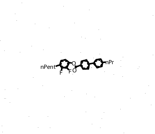 CCCCCc1ccc(OC(=O)c2ccc(-c3ccc(CCC)cc3)cc2)c(F)c1F